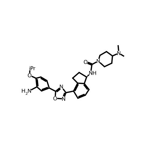 CC(C)Oc1ccc(-c2nc(-c3cccc4c3CC[C@H]4NC(=O)N3CCC(N(C)C)CC3)no2)cc1N